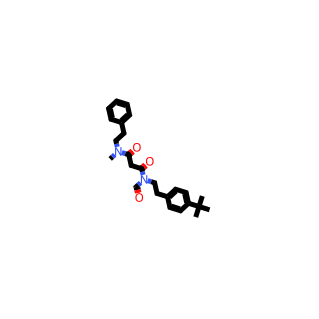 CN(CCc1ccccc1)C(=O)CC(=O)N(C=O)CCc1ccc(C(C)(C)C)cc1